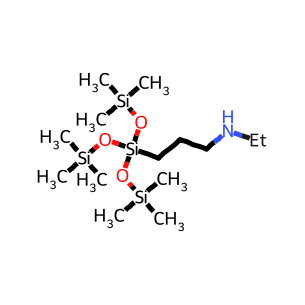 CCNCCC[Si](O[Si](C)(C)C)(O[Si](C)(C)C)O[Si](C)(C)C